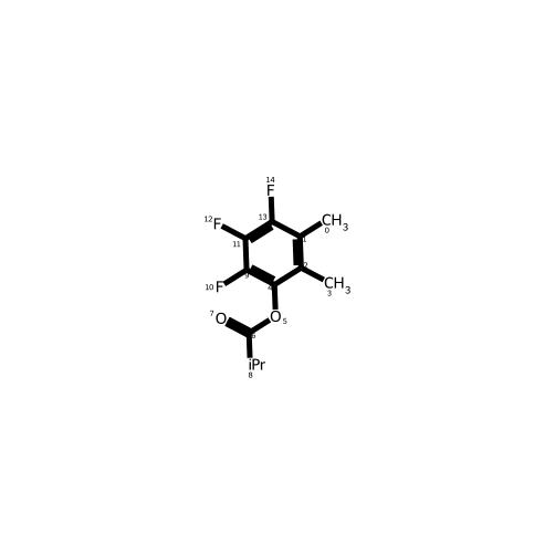 Cc1c(C)c(OC(=O)C(C)C)c(F)c(F)c1F